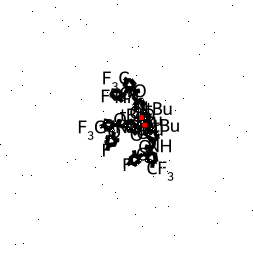 Cc1cc(F)ccc1Oc1cc(C(F)(F)F)ccc1C(=O)Nc1ccn(C(OP(=O)(OC(n2ccc(NC(=O)c3ccc(C(F)(F)F)cc3Oc3ccc(F)cc3C)cc2=O)(C(C)(C)C)C(C)(C)C)OC(n2ccc(NC(=O)c3ccc(C(F)(F)F)cc3Oc3ccc(F)cc3C)cc2=O)(C(C)(C)C)C(C)(C)C)(C(C)(C)C)C(C)(C)C)c(=O)c1